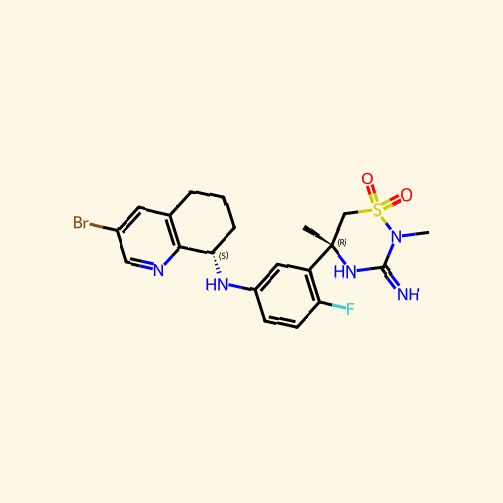 CN1C(=N)N[C@](C)(c2cc(N[C@H]3CCCc4cc(Br)cnc43)ccc2F)CS1(=O)=O